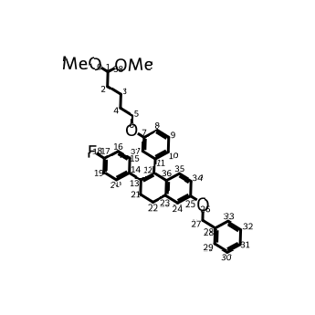 COC(CCCCOc1cccc(C2=C(c3ccc(F)cc3)CCc3cc(OCc4ccccc4)ccc32)c1)OC